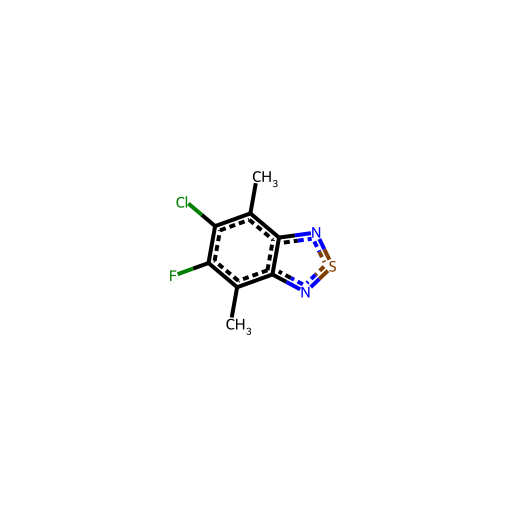 Cc1c(F)c(Cl)c(C)c2nsnc12